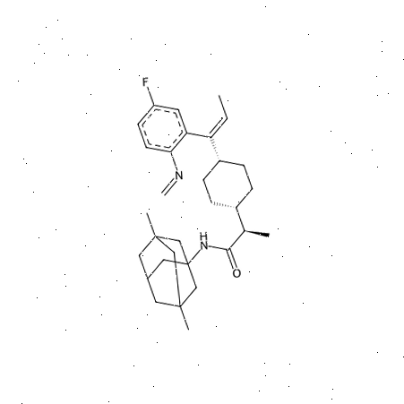 C=Nc1ccc(F)cc1/C(=C\C)[C@H]1CC[C@@H]([C@@H](C)C(=O)NC23CC4CC(C)(CC(C)(C4)C2)C3)CC1